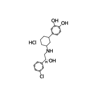 Cl.Oc1ccc(C2CCCC(NC[C@H](O)c3cccc(Cl)c3)C2)cc1O